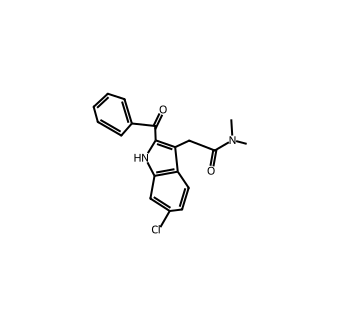 CN(C)C(=O)Cc1c(C(=O)c2ccccc2)[nH]c2cc(Cl)ccc12